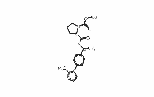 Cc1nccn1-c1ccc([C@H](C)NC(=O)[C@@H]2CCCN2C(=O)OC(C)(C)C)cc1